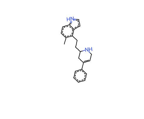 Cc1ccc2[nH]ccc2c1CCC1CC(c2ccccc2)=CCN1